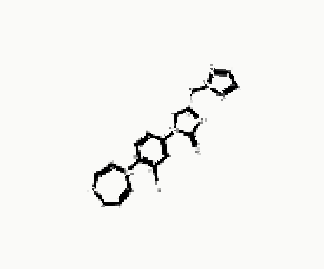 O=C1O[C@@H](Cn2nccn2)CN1c1ccc(N2C=CCSC=C2)c(F)c1